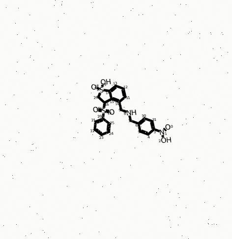 O=[N+](O)c1ccc(CNCc2cccc3c2C(S(=O)(=O)c2ccccc2)CS3([O-])O)cc1